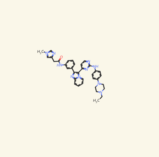 CCN1CCN(c2ccc(Nc3nccc(-c4c(-c5cccc(NC(=O)Cc6cn(C)cn6)c5)nc5ccccn45)n3)cc2)CC1